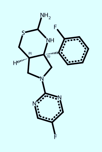 NC1N[C@@]2(c3ccccc3F)CN(c3ncc(F)cn3)C[C@H]2CS1